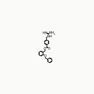 N=C(N)NCc1ccc(C(=O)OCc2ccccc2OCc2ccccc2)cc1